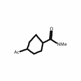 CNC(=O)C1CCC(C(C)=O)CC1